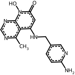 Cc1ncnc2c1c(NCc1ccc(N)nc1)cc(=O)n2O